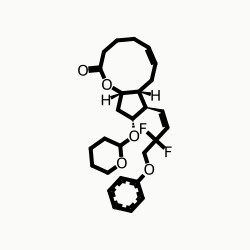 O=C1CCCC=CC[C@@H]2[C@@H](/C=C\C(F)(F)COc3ccccc3)[C@H](OC3CCCCO3)C[C@@H]2O1